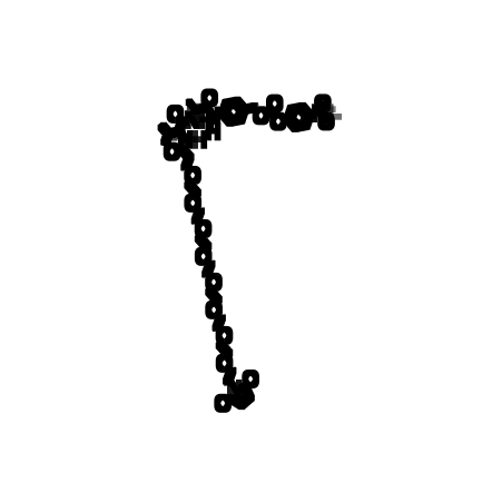 CC(C)[C@H](NC(=O)CCOCCOCCOCCOCCOCCOCCOCCOCCN1C(=O)C=CC1=O)C(=O)N[C@@H](C)C(=O)Nc1ccc(COC(=O)Oc2ccc([N+](=O)[O-])cc2)cc1